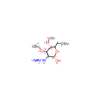 CCCCO[C@@H]1C(COC)O[C@H](O)C(N=[N+]=[N-])[C@H]1OCCCC